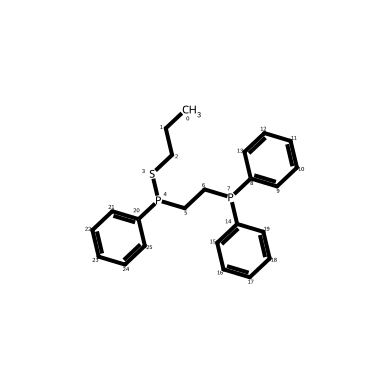 CCCSP(CCP(c1ccccc1)c1ccccc1)c1ccccc1